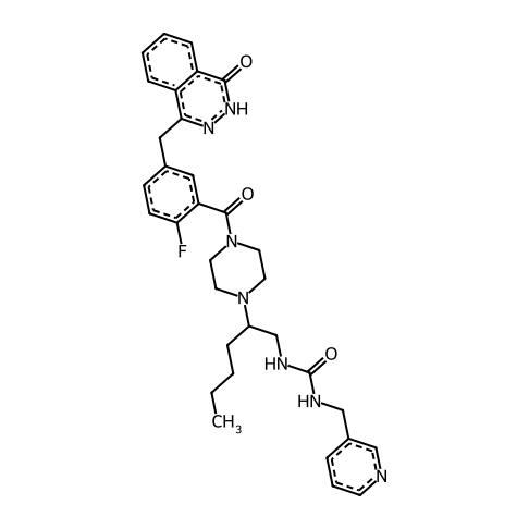 CCCCC(CNC(=O)NCc1cccnc1)N1CCN(C(=O)c2cc(Cc3n[nH]c(=O)c4ccccc34)ccc2F)CC1